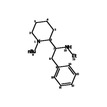 CCCCN1CCCCC1C(Cc1ccccc1)NCC